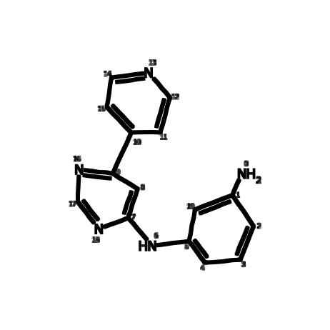 Nc1cccc(Nc2cc(-c3ccncc3)ncn2)c1